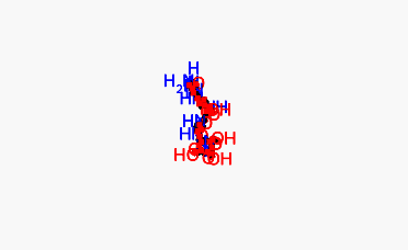 N=C(OC(CCC(=O)Nc1ccc(NC(=O)CN2CCN(CC(=O)O)CCN(CC(=O)O)CCN(CC(=O)O)CC2)cc1)C(=O)O)c1ccc(NCc2cnc3nc(N)[nH]c(=O)c3n2)cc1